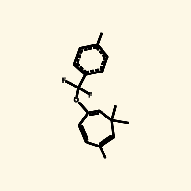 CC1=CC(C)(C)C=C(OC(F)(F)c2ccc(C)cc2)C=C1